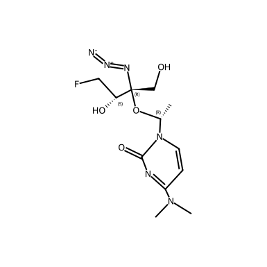 C[C@@H](O[C@@](CO)(N=[N+]=[N-])[C@H](O)CF)n1ccc(N(C)C)nc1=O